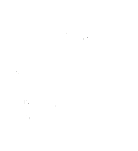 CC(C)NC(=O)c1c(N)sc2c1CCC(C#N)(c1ccccc1)C2=O